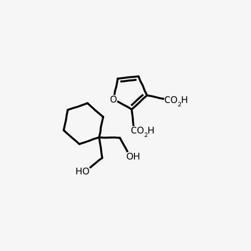 O=C(O)c1ccoc1C(=O)O.OCC1(CO)CCCCC1